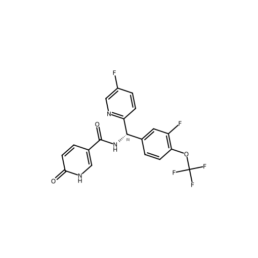 O=C(N[C@@H](c1ccc(OC(F)(F)F)c(F)c1)c1ccc(F)cn1)c1ccc(=O)[nH]c1